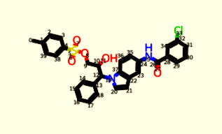 Cc1ccc(S(=O)(=O)OCC(O)C(c2ccccc2)n2ccc3cc(NC(=O)c4cccc(Cl)c4)ccc32)cc1